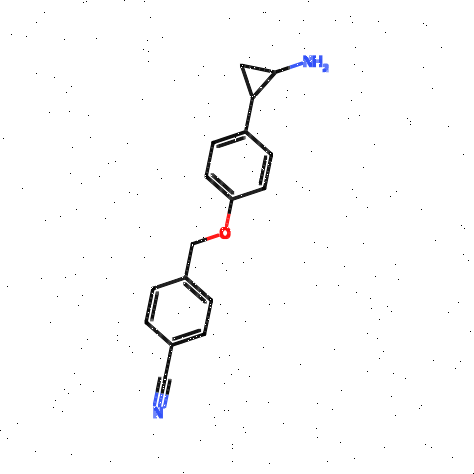 N#Cc1ccc(COc2ccc(C3CC3N)cc2)cc1